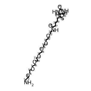 NCCOCCOCCOCCOCCOCCOCCOCCNC(=O)CCCC[C@@H]1SC[C@@H]2NC(=O)N[C@@H]21